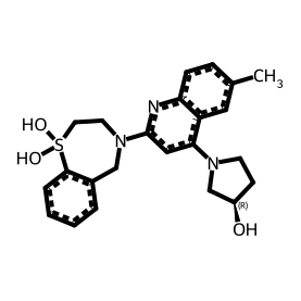 Cc1ccc2nc(N3CCS(O)(O)c4ccccc4C3)cc(N3CC[C@@H](O)C3)c2c1